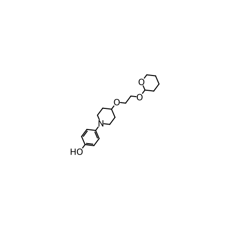 Oc1ccc(N2CCC(OCCOC3CCCCO3)CC2)cc1